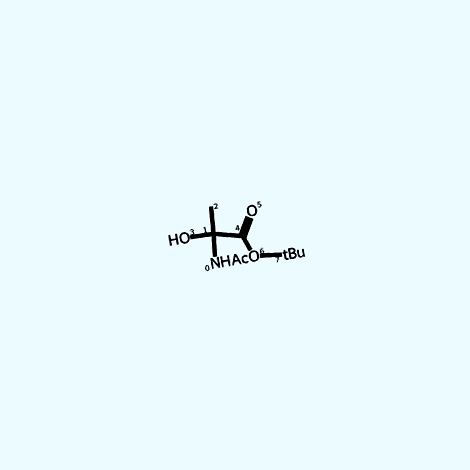 CC(=O)NC(C)(O)C(=O)OC(C)(C)C